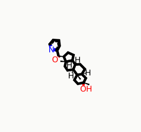 C[C@@]1(O)CC[C@@]2(C)[C@@H](CC[C@@H]3[C@@H]2CC[C@]2(C)[C@@H](C(=O)c4ccccn4)CC[C@@H]32)C1